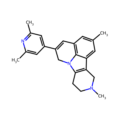 Cc1cc2c3c(c1)c1c(n3CC(c3cc(C)nc(C)c3)=C2)CCN(C)C1